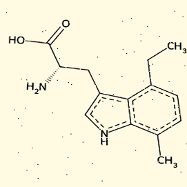 CCc1ccc(C)c2[nH]cc(C[C@H](N)C(=O)O)c12